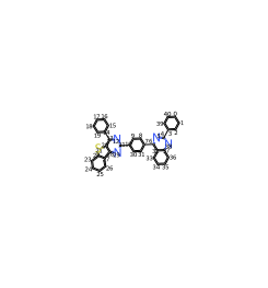 c1ccc(-c2nc(-c3ccc(-c4nc(-c5ccccc5)c5sc6ccccc6c5n4)cc3)c3ccccc3n2)cc1